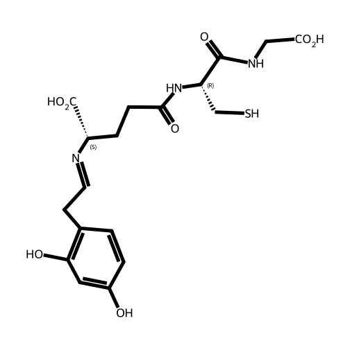 O=C(O)CNC(=O)[C@H](CS)NC(=O)CC[C@H](N=CCc1ccc(O)cc1O)C(=O)O